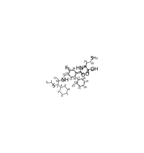 CCSC(C1CCCCC1)C(C)NCc1cc(-c2ccccc2C)c(C(=O)N[C@@H](CCSC)C(=O)O)cc1F